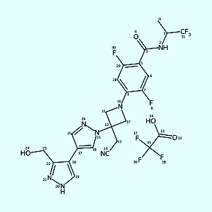 CC(NC(=O)c1cc(F)c(N2CC(CC#N)(n3cc(-c4c[nH]nc4CO)cn3)C2)cc1F)C(F)(F)F.O=C(O)C(F)(F)F